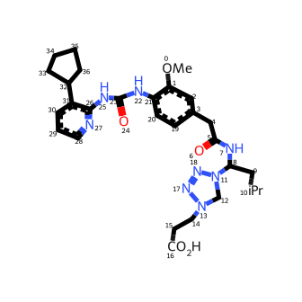 COc1cc(CC(=O)NC(CC(C)C)N2CN(CCC(=O)O)N=N2)ccc1NC(=O)Nc1ncccc1C1CCCC1